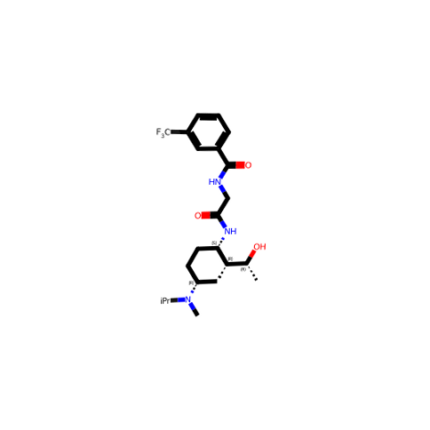 CC(C)N(C)[C@@H]1CC[C@H](NC(=O)CNC(=O)c2cccc(C(F)(F)F)c2)[C@H]([C@@H](C)O)C1